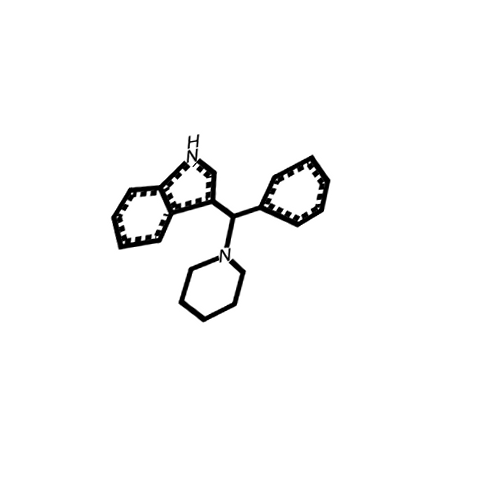 c1ccc(C(c2c[nH]c3ccccc23)N2CCCCC2)cc1